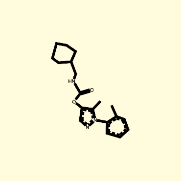 Cc1ccccc1-n1ncc(OC(=O)NCC2CCCCC2)c1C